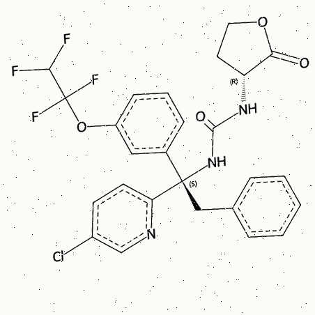 O=C(N[C@@H]1CCOC1=O)N[C@@](Cc1ccccc1)(c1cccc(OC(F)(F)C(F)F)c1)c1ccc(Cl)cn1